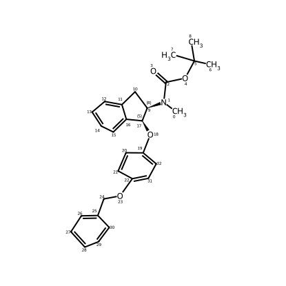 CN(C(=O)OC(C)(C)C)[C@@H]1Cc2ccccc2[C@@H]1Oc1ccc(OCc2ccccc2)cc1